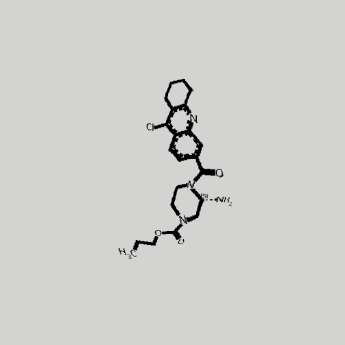 CCCOC(=O)N1CCN(C(=O)c2ccc3c(Cl)c4c(nc3c2)CCCC4)[C@H](N)C1